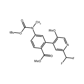 COC(=O)c1ccc(N(C)C(=O)OC(C)(C)C)cc1-c1cc(C(F)F)ncc1OC